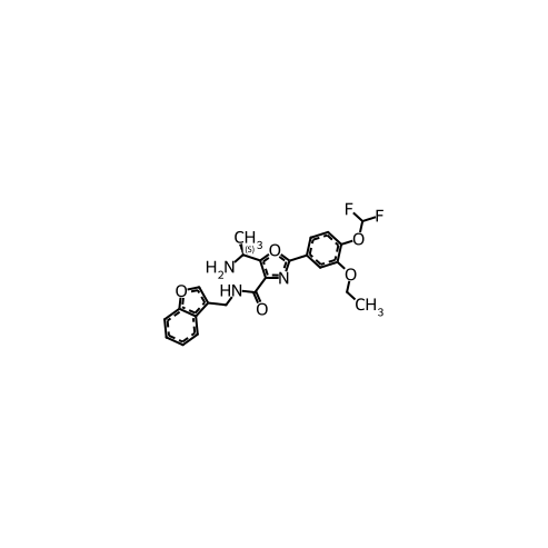 CCOc1cc(-c2nc(C(=O)NCc3coc4ccccc34)c([C@H](C)N)o2)ccc1OC(F)F